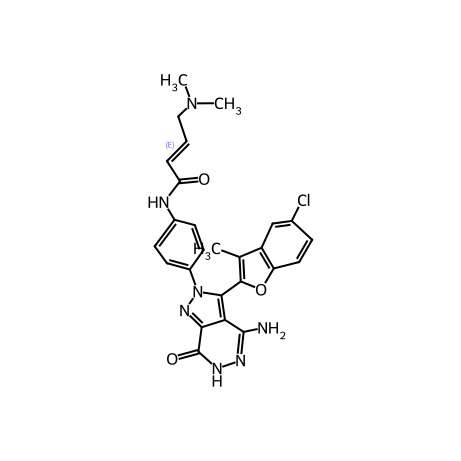 Cc1c(-c2c3c(N)n[nH]c(=O)c3nn2-c2ccc(NC(=O)/C=C/CN(C)C)cc2)oc2ccc(Cl)cc12